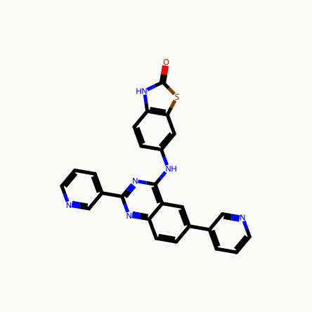 O=c1[nH]c2ccc(Nc3nc(-c4cccnc4)nc4ccc(-c5cccnc5)cc34)cc2s1